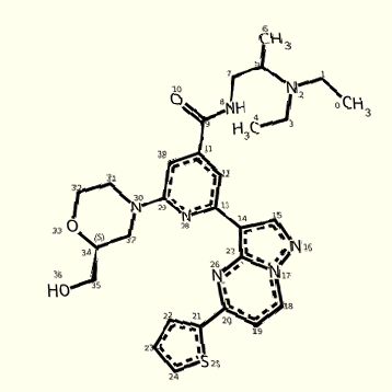 CCN(CC)C(C)CNC(=O)c1cc(-c2cnn3ccc(-c4cccs4)nc23)nc(N2CCO[C@H](CO)C2)c1